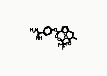 CC(Cc1ccc(C(=O)Oc2ccc(C(=N)N)cc2)o1)C(=O)OC(=O)C(F)(F)F